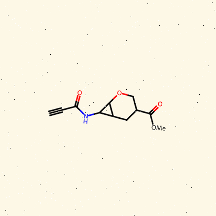 C#CC(=O)NC1C2CC(C(=O)OC)COC21